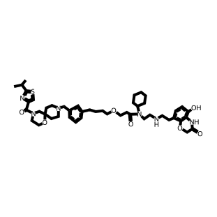 CC(C)c1nc(C(=O)N2CCOC3(CCN(Cc4cccc(CCCCOCCC(=O)N(CCNCCc5ccc(O)c6c5OCC(=O)N6)C5CCCCC5)c4)CC3)C2)cs1